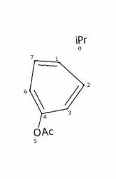 [CH2][C@H](C)c1ccc(OC(C)=O)cc1